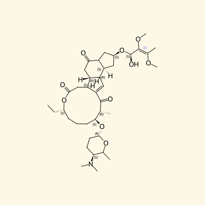 CC[C@H]1CCC[C@H](O[C@H]2CC[C@H](N(C)C)C(C)O2)[C@@H](C)C(=O)C2=C[C@@H]3[C@@H](CC(=O)C4C[C@@H](O[C@H](O)/C(OC)=C(/C)OC)C[C@H]43)[C@@H]2CC(=O)O1